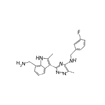 Cc1nnc(-c2c(C)[nH]c3c(CN)cccc23)nc1NCc1cccc(F)c1